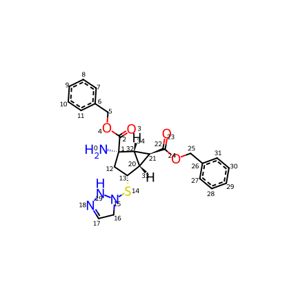 N[C@@]1(C(=O)OCc2ccccc2)C[C@@H](SN2CC=NN2)[C@H]2[C@H](C(=O)OCc3ccccc3)[C@H]21